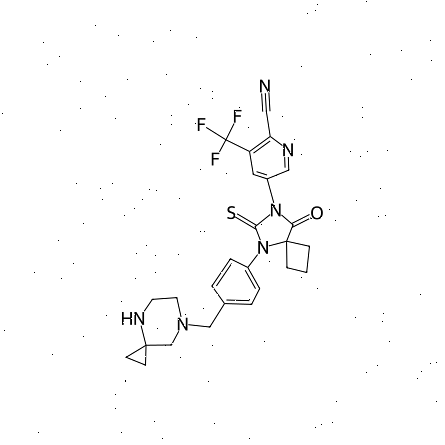 N#Cc1ncc(N2C(=O)C3(CCC3)N(c3ccc(CN4CCNC5(CC5)C4)cc3)C2=S)cc1C(F)(F)F